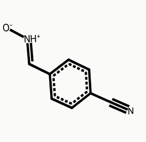 N#Cc1ccc(C=[NH+][O-])cc1